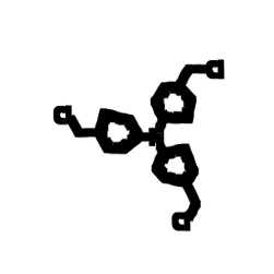 ClCc1ccc(N(c2ccc(CCl)cc2)c2ccc(CCl)cc2)cc1